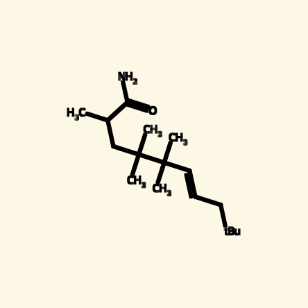 CC(CC(C)(C)C(C)(C)/C=C/CC(C)(C)C)C(N)=O